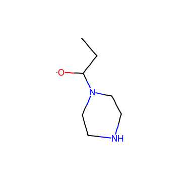 CCC([O])N1CCNCC1